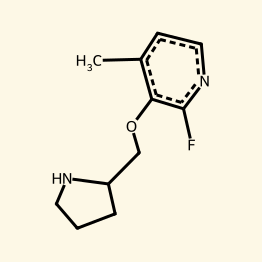 Cc1ccnc(F)c1OCC1CCCN1